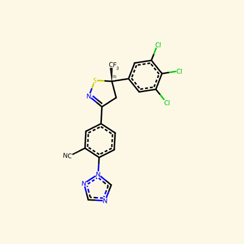 N#Cc1cc(C2=NS[C@@](c3cc(Cl)c(Cl)c(Cl)c3)(C(F)(F)F)C2)ccc1-n1cncn1